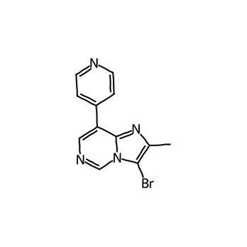 Cc1nc2c(-c3ccncc3)cncn2c1Br